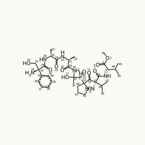 COC(=O)[C@@H](NC(=O)[C@](N)(C(=O)C1([PH](=O)C(C)(O)NC(=O)[C@H](C)NC(=O)[C@H](C)NC(=O)[C@@](N)(CO)c2ccccc2)CCCC1)C(C)C)C(C)C